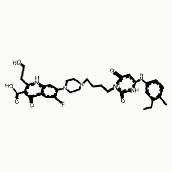 CCc1cc(Nc2cc(=O)n(CCCCN3CCN(c4cc5[nH]c(CCO)c(C(=O)O)c(=O)c5cc4F)CC3)c(=O)[nH]2)ccc1C